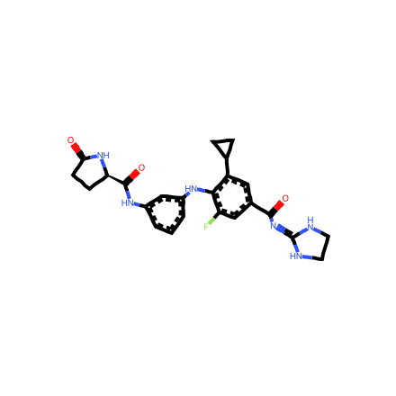 O=C1CC[C@H](C(=O)Nc2cccc(Nc3c(F)cc(C(=O)N=C4NCCN4)cc3C3CC3)c2)N1